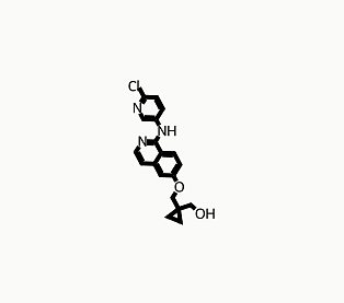 OCC1(COc2ccc3c(Nc4ccc(Cl)nc4)nccc3c2)CC1